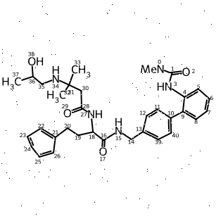 CNC(=O)Nc1ccccc1-c1ccc(CNC(=O)C(CCc2ccccc2)NC(=O)CC(C)(C)NCC(C)O)cc1